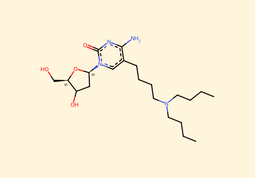 CCCCN(CCCC)CCCCc1cn([C@H]2CC(O)[C@@H](CO)O2)c(=O)nc1N